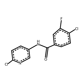 O=C(Nc1ccc(Cl)nc1)c1ccc(Cl)c(F)c1